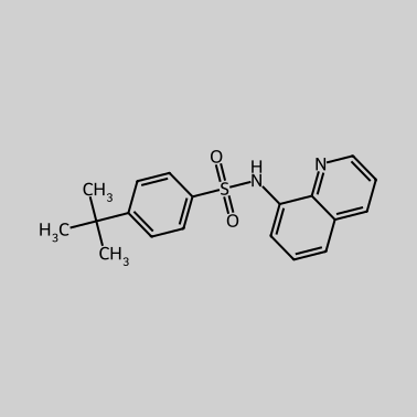 CC(C)(C)c1ccc(S(=O)(=O)Nc2cccc3cccnc23)cc1